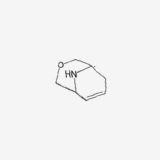 C1=CC2COC[C](C1)N2